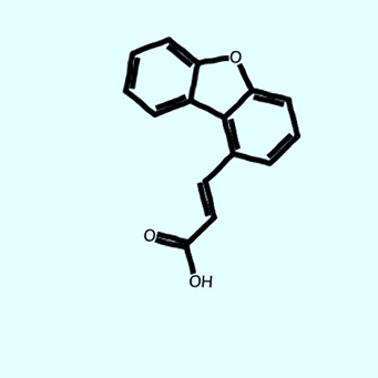 O=C(O)C=Cc1cccc2oc3ccccc3c12